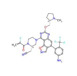 C=C(F)C(=O)N1CCN(c2nc(OC[C@@H]3CCCN3C)nc3cc(-c4cc(N)ccc4C(F)(F)F)c4cnoc4c23)C[C@@H]1CC#N